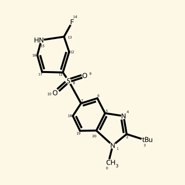 Cn1c(C(C)(C)C)nc2cc(S(=O)(=O)C3=CC(F)NC=C3)ccc21